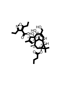 CCCC(=O)O[C@@]12C[C@@H](C)[C@]34C=C(C)[C@H](OC(=O)c5c(CC)noc5CC)[C@@]3(O)[C@H](O)C(CO)=C[C@H](C4O)[C@@H]1C2(C)C